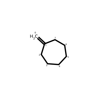 C=C1CCCCCC1